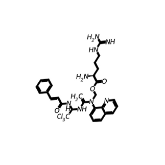 C=C(NC(NC(=O)/C=C/c1ccccc1)C(Cl)(Cl)Cl)N(COC(=O)[C@@H](N)CCCNC(=N)N)c1cccc2cccnc12